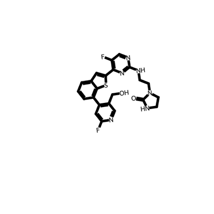 O=C1NCCN1CCNc1ncc(F)c(-c2cc3cccc(-c4cc(F)ncc4CO)c3s2)n1